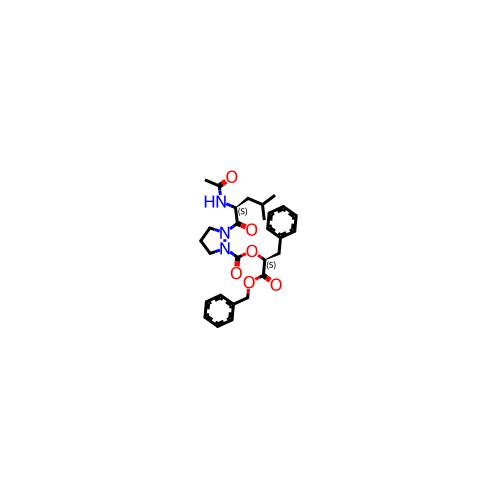 CC(=O)N[C@@H](CC(C)C)C(=O)N1CCCN1C(=O)O[C@@H](Cc1ccccc1)C(=O)OCc1ccccc1